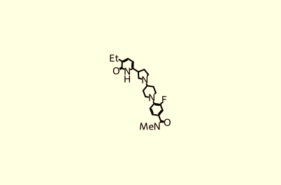 CCc1ccc(C2CCN(C3CCN(c4ccc(C(=O)NC)cc4F)CC3)C2)[nH]c1=O